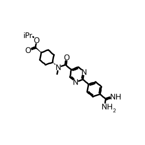 CC(C)OC(=O)[C@H]1CC[C@H](N(C)C(=O)c2cnc(-c3ccc(C(=N)N)cc3)nc2)CC1